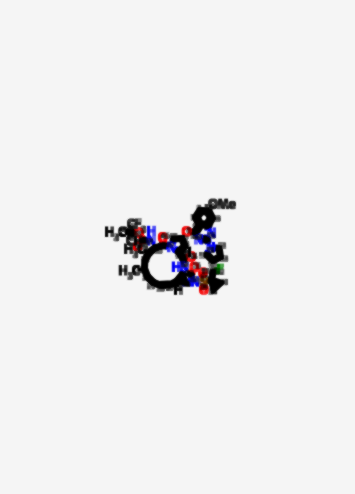 COc1ccc2c(O[C@@H]3C[C@H]4C(=O)N[C@]5(C(=O)NS(=O)(=O)C6(CF)CC6)C[C@H]5C=CCC[C@H](C)C[C@@H](C)[C@H](NC(=O)OC(C)(C)C(F)(F)F)C(=O)N4C3)nc(N3CCCC3)nc2c1